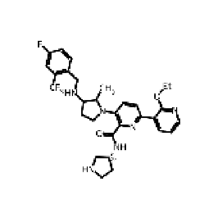 CCOc1ncccc1-c1ccc(N2CCC(NCc3ccc(F)cc3C(F)(F)F)C2C)c(C(=O)N[C@@H]2CCNC2)n1